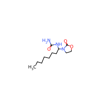 CCCCCCCC(NC(N)=O)N1CCOC1=O